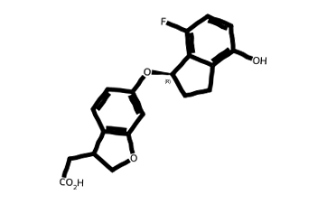 O=C(O)CC1COc2cc(O[C@@H]3CCc4c(O)ccc(F)c43)ccc21